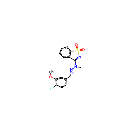 CCCOc1cc(/C=N/N(C)C2=NS(=O)(=O)c3ccccc32)ccc1F